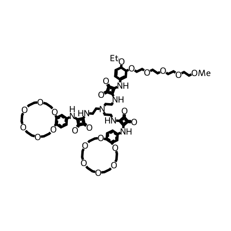 CCOC1C=CC(Nc2c(NCCN(CCNc3c(Nc4ccc5c(c4)OCCOCCOCCOCCOCCO5)c(=O)c3=O)CCNc3c(Nc4ccc5c(c4)OCCOCCOCCOCCOCCO5)c(=O)c3=O)c(=O)c2=O)=CC1OCCOCCOCCOCCOC